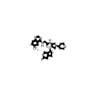 O=C(CNc1ncnc2ccc(C(F)(F)F)cc12)NC1CN(C2CCOCC2)C[C@@H]1OC1CCc2cc(F)ncc21